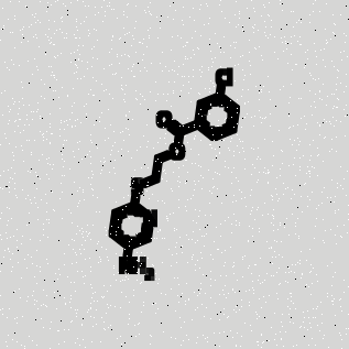 Nc1ccc(SCCOC(=O)c2cccc(Cl)c2)nc1